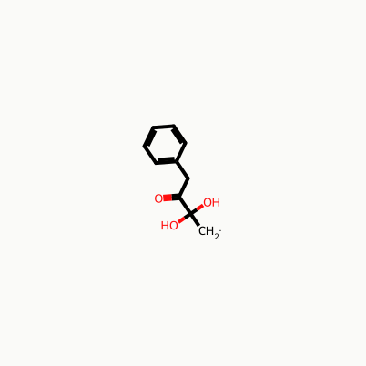 [CH2]C(O)(O)C(=O)Cc1ccccc1